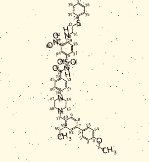 CCOc1ccc(-c2ccc(CN3CCN(c4ccc(C(=O)NS(=O)(=O)c5ccc(NCCSc6ccccc6)c([N+](=O)[O-])c5)cc4)CC3)c(CC)c2)cc1